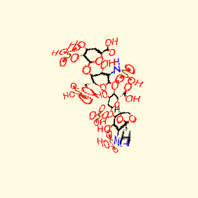 O=C(O)C1=C[C@H](O)[C@@H](OS(=O)(=O)O)[C@H](OC2[C@@H](COS(=O)(=O)O)O[C@H](OC3[C@H](C(=O)O)O[C@@H](OC4[C@H]5CO[C@H](O5)[C@@H](NS(=O)(=O)O)[C@H]4O)[C@H](OS(=O)(=O)O)[C@H]3O)[C@H](NS(=O)(=O)O)[C@H]2O)O1